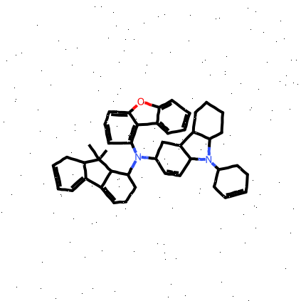 CC1(C)C2CC=CC=C2C2=CCCC(N(c3cccc4oc5ccccc5c34)C3C=CC4C(C3)C3CCCCC3N4C3CC=CCC3)C21